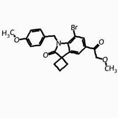 COCC(=O)c1cc(Br)c2c(c1)C1(CCC1)C(=O)N2Cc1ccc(OC)cc1